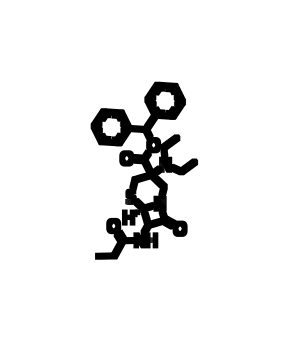 CCC(=O)NC1C(=O)N2CC(C(=O)OC(c3ccccc3)c3ccccc3)(N(CC)CC)CS[C@H]12